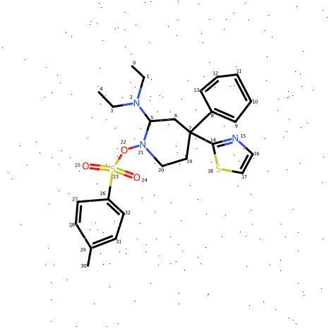 CCN(CC)C1CC(c2ccccc2)(c2nccs2)CCN1OS(=O)(=O)c1ccc(C)cc1